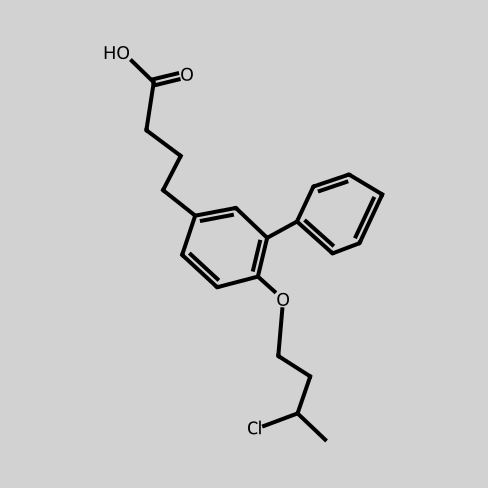 CC(Cl)CCOc1ccc(CCCC(=O)O)cc1-c1ccccc1